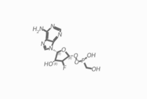 Nc1ncnc2c1ncn2[C@@H]1O[C@H](OOP(O)CO)C(F)[C@@H]1O